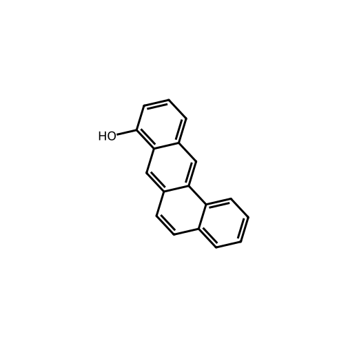 Oc1cccc2cc3c(ccc4ccccc43)cc12